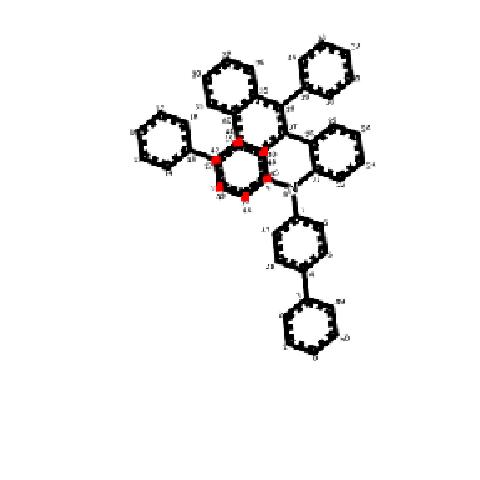 c1ccc(-c2ccc(N(c3ccc(-c4ccccc4)cc3)c3ccccc3-c3c(-c4ccccc4)c4ccccc4c4ccccc34)cc2)cc1